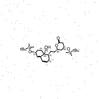 C[C@@H]1C=CC2=C[C@@H](O[Si](C)(C)C(C)(C)C)C[C@H](O)[C@@H]2[C@H]1CC[C@@H]1C[C@@H](O[Si](C)(C)C(C)(C)C)CC(=O)O1